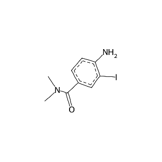 CN(C)C(=O)c1ccc(N)c(I)c1